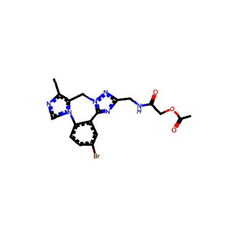 CC(=O)OCC(=O)NCc1nc2n(n1)Cc1c(C)ncn1-c1ccc(Br)cc1-2